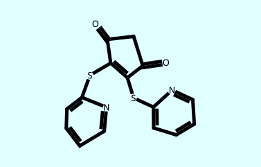 O=C1CC(=O)C(Sc2ccccn2)=C1Sc1ccccn1